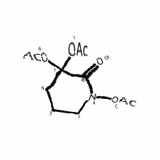 CC(=O)ON1CCCC(OC(C)=O)(OC(C)=O)C1=O